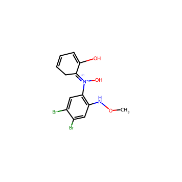 CONc1cc(Br)c(Br)cc1/[N+](O)=C1\CC=CC=C1O